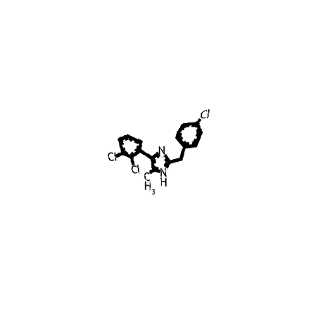 Cc1[nH]c(Cc2ccc(Cl)cc2)nc1-c1cccc(Cl)c1Cl